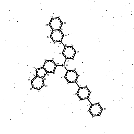 c1ccc(-c2ccc(-c3ccc(N(c4cccc(-c5ccc6ccccc6c5)c4)c4ccc5sc6ccccc6c5c4)cc3)cc2)cc1